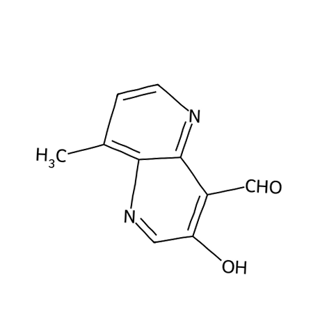 Cc1ccnc2c(C=O)c(O)cnc12